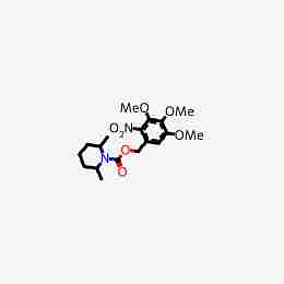 COc1cc(COC(=O)N2C(C)CCCC2C)c([N+](=O)[O-])c(OC)c1OC